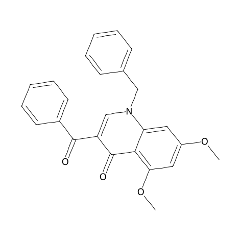 COc1cc(OC)c2c(=O)c(C(=O)c3ccccc3)cn(Cc3ccccc3)c2c1